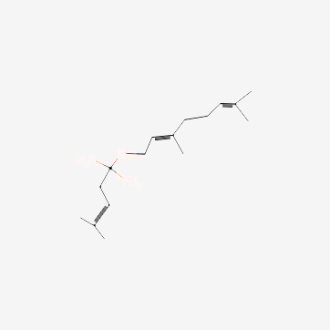 CC(C)=CCC/C(C)=C/COC(P)(P)CC=C(C)C